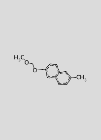 COCOc1ccc2cc(C)ccc2c1